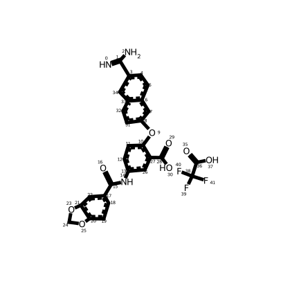 N=C(N)c1ccc2cc(Oc3ccc(NC(=O)c4ccc5c(c4)OCO5)cc3C(=O)O)ccc2c1.O=C(O)C(F)(F)F